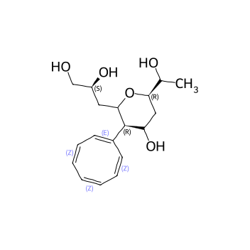 CC(O)[C@H]1CC(O)[C@@H](C2=C/C=C\C=C/C=C\2)C(C[C@H](O)CO)O1